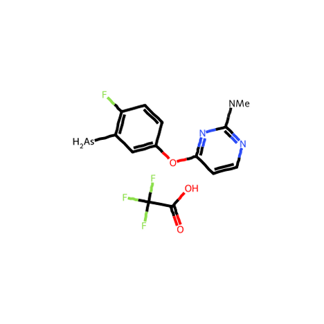 CNc1nccc(Oc2ccc(F)c([AsH2])c2)n1.O=C(O)C(F)(F)F